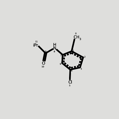 Cc1ccc(Cl)cc1NC(=O)C(C)C